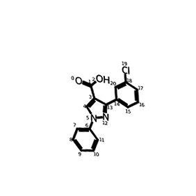 O=C(O)c1cn(-c2ccccc2)nc1-c1cccc(Cl)c1